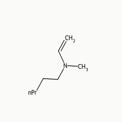 C=CN(C)CCCCC